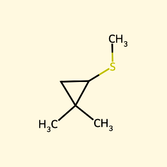 CSC1CC1(C)C